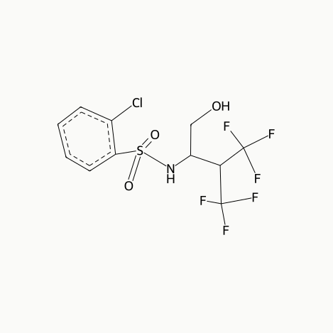 O=S(=O)(NC(CO)C(C(F)(F)F)C(F)(F)F)c1ccccc1Cl